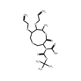 C=CCOC1COCC(N(C(=O)O)C(=O)OC(C)(C)C)C(=O)OC(C)C1OCC=C